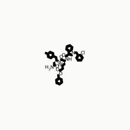 CCCN(C(=O)[C@H](CCCC(=O)OCc1ccccc1)NC(=O)c1cn(Cc2ccccc2Cl)c2ccccc12)[C@H](CC(N)=O)Cc1ccc(C)cc1